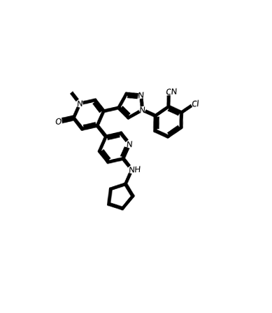 Cn1cc(-c2cnn(-c3cccc(Cl)c3C#N)c2)c(-c2ccc(NC3CCCC3)nc2)cc1=O